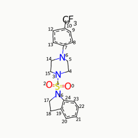 O=S(=O)(N1CCN(c2ccc(C(F)(F)F)cc2)CC1)N1CCc2ccccc21